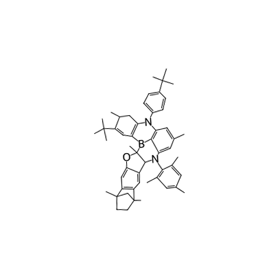 Cc1cc(C)c(N2c3cc(C)cc4c3B(C3=C(CC(C)C(C(C)(C)C)=C3)N4c3ccc(C(C)(C)C)cc3)C3(C)Oc4cc5c(cc4C23)C2(C)CCC5(C)C2)c(C)c1